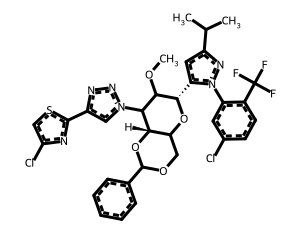 COC1C(n2cc(-c3nc(Cl)cs3)nn2)[C@H]2OC(c3ccccc3)OCC2O[C@H]1c1cc(C(C)C)nn1-c1cc(Cl)ccc1C(F)(F)F